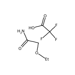 CCOCC(N)=O.O=C(O)C(F)(F)F